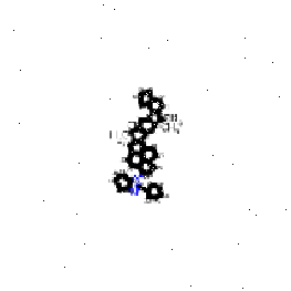 CC1(C)c2cc3c(cc2-c2c1ccc1ccccc21)C(C)(C)c1cc2ccc4c(-n5c(-c6ccccc6)nc6ccccc65)ccc5ccc(c1-3)c2c54